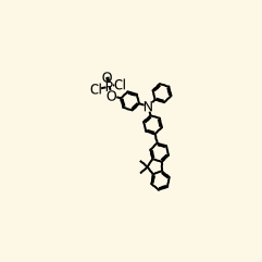 CC1(C)c2ccccc2-c2ccc(-c3ccc(N(c4ccccc4)c4ccc(OP(=O)(Cl)Cl)cc4)cc3)cc21